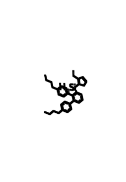 CCCCc1ccc(-c2cccc([SiH2]C3=C(CC)C=CC3)c2-c2ccc(CCCC)cc2)cc1